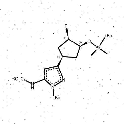 CC(C)(C)n1nc([C@H]2C[C@@H](F)[C@@H](O[Si](C)(C)C(C)(C)C)C2)cc1NC(=O)O